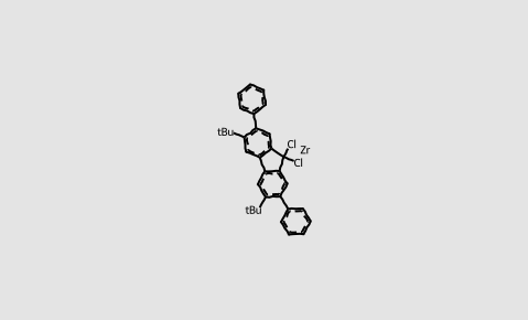 CC(C)(C)c1cc2c(cc1-c1ccccc1)C(Cl)(Cl)c1cc(-c3ccccc3)c(C(C)(C)C)cc1-2.[Zr]